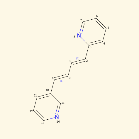 C(/C=C/c1ccccn1)=C\c1cccnc1